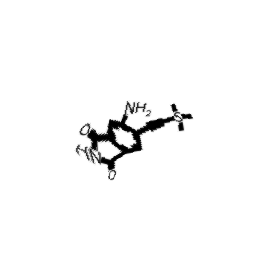 CS(C)(C)C#Cc1cc2c(cc1N)C(=O)NC2=O